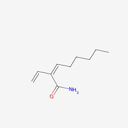 C=CC(=CCCCCC)C(N)=O